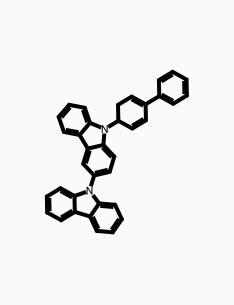 C1=CC(n2c3ccccc3c3cc(-n4c5ccccc5c5ccccc54)ccc32)CC=C1c1ccccc1